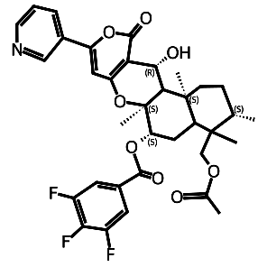 CC(=O)OCC1(C)C2C[C@H](OC(=O)c3cc(F)c(F)c(F)c3)[C@@]3(C)Oc4cc(-c5cccnc5)oc(=O)c4[C@H](O)C3[C@@]2(C)CC[C@@H]1C